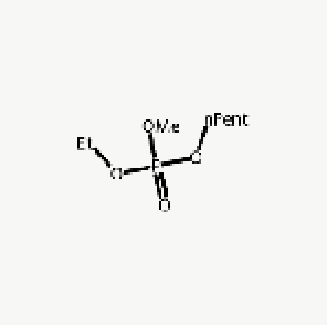 CCCCCOP(=O)(OC)OCC